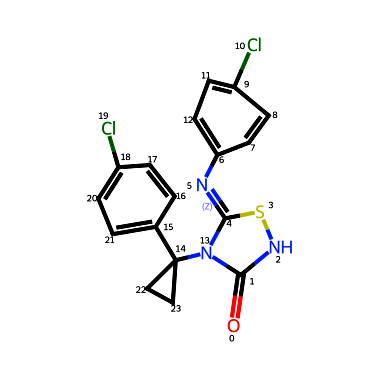 O=c1[nH]s/c(=N\c2ccc(Cl)cc2)n1C1(c2ccc(Cl)cc2)CC1